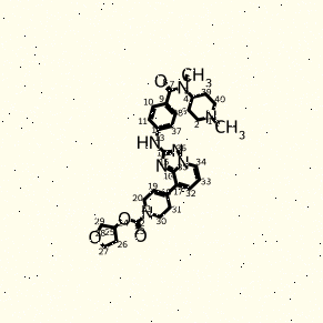 CN1CCC(N(C)C(=O)c2ccc(Nc3nc4c(C5=CCN(C(=O)OC6CCOC6)CC5)cccn4n3)cc2)CC1